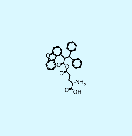 N[C@@H](CCC(=O)OC(=O)C(c1cccc2oc3ccccc3c12)C(c1ccccc1)c1ccccc1)C(=O)O